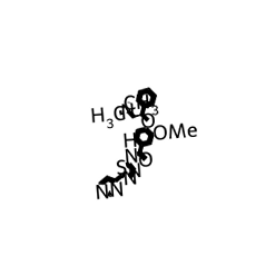 COc1cc(C(=O)Nc2nnc(-c3ccncn3)s2)ccc1O[C@@H](CN(C)C)c1ccccc1